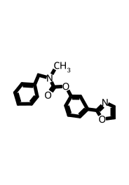 CN(Cc1ccccc1)C(=O)Oc1cccc(-c2ncco2)c1